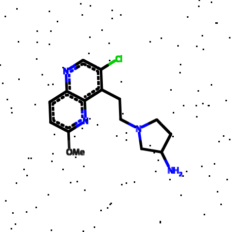 COc1ccc2ncc(Cl)c(CCN3CCC(N)C3)c2n1